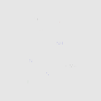 COc1nc(Cl)ncc1NC(=O)OC(C)(C)C